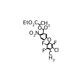 CCOC(=O)C(C)OC(=O)c1cc(Oc2c(F)c(F)c(C)c(Cl)c2F)ccc1[N+](=O)[O-]